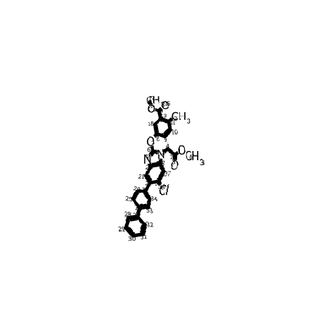 COC(=O)Cn1c(Oc2ccc(C)c(C(=O)OC)c2)nc2cc(-c3ccc(-c4ccccc4)cc3)c(Cl)cc21